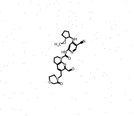 CO[C@H]1CCCC1Nc1cc(NC(=O)N2CCCc3cc(CN4CCOCC4=O)c(C=O)nc32)ncc1C#N